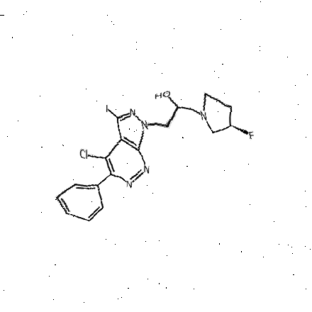 OC(Cn1nc(I)c2c(Cl)c(-c3ccccc3)nnc21)N1CC[C@@H](F)C1